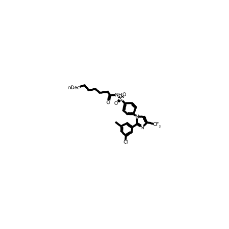 CCCCCCCCCCCCCCCC(=O)NS(=O)(=O)c1ccc(-n2cc(C(F)(F)F)nc2-c2cc(C)cc(Cl)c2)cc1